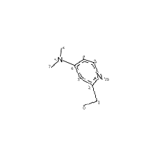 CCc1cc(N(C)C)ccn1